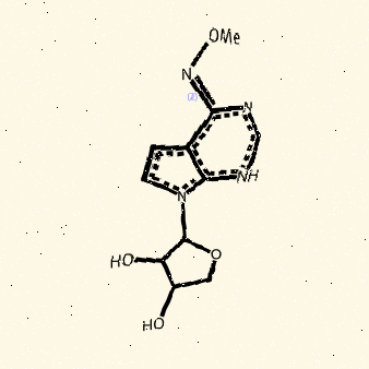 CO/N=c1\nc[nH]c2c1ccn2C1OCC(O)C1O